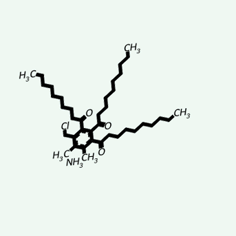 CCCCCCCCCC(=O)c1c(C)c(C)c(CCl)c(C(=O)CCCCCCCCC)c1C(=O)CCCCCCCCC.N